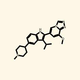 COc1cc(-c2[nH]c3ccc(C4CCN(C)CC4)cc3c2C(C)C)cn2cnnc12